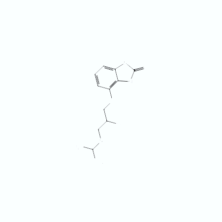 CC(C)NCC(O)COc1cccc2[nH]c(=O)[nH]c12